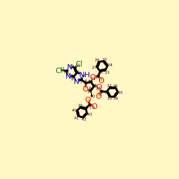 O=C(OC[C@H]1OC(c2nc3nc(Cl)nc(Cl)c3[nH]2)[C@H](OC(=O)c2ccccc2)[C@@H]1OC(=O)c1ccccc1)c1ccccc1